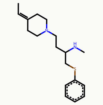 CC=C1CCN(CCC(CSc2ccccc2)NC)CC1